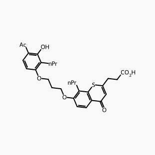 CCCc1c(OCCCOc2ccc3c(=O)cc(CCC(=O)O)sc3c2CCC)ccc(C(C)=O)c1O